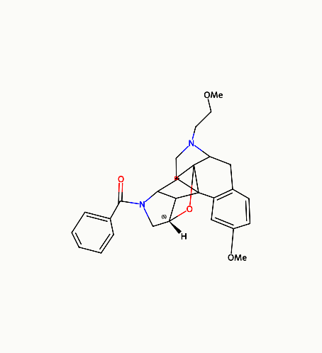 COCCN1CCC23c4cc(OC)ccc4CC1C21CCC2C3[C@@H](CN2C(=O)c2ccccc2)O1